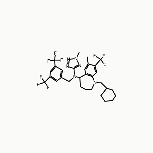 Cc1cc2c(cc1C(F)(F)F)N(CC1CCCCC1)CCCC2N(Cc1cc(C(F)(F)F)cc(C(F)(F)F)c1)c1nnn(C)n1